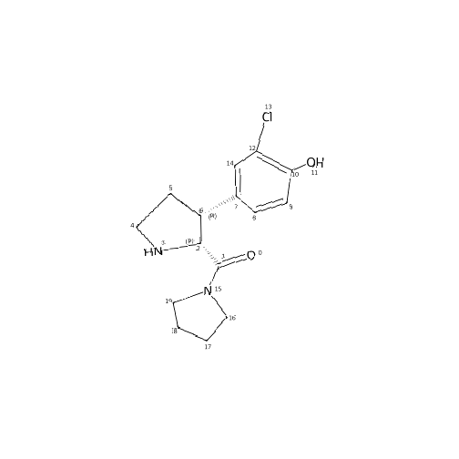 O=C([C@@H]1NCC[C@@H]1c1ccc(O)c(Cl)c1)N1CCCC1